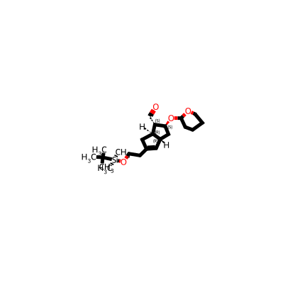 CC(C)(C)[Si](C)(C)OCCC1=C[C@@H]2C[C@H](OC3CCCCO3)[C@@H](C=O)[C@@H]2C1